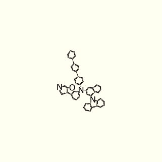 c1ccc(-c2ccc(-c3ccc(N(c4cc(-n5c6ccccc6c6ccccc65)c5ccccc5c4)c4cccc5c4oc4cnccc45)cc3)cc2)cc1